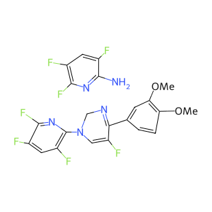 COc1ccc(C2=NCN(c3nc(F)c(F)cc3F)C=C2F)cc1OC.Nc1nc(F)c(F)cc1F